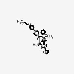 COCCOc1ccc(N2CCN(C(=O)[C@H](c3ccccc3OC)n3ncc4c3nc(N)n3nc(-c5ccco5)nc43)CC2)cc1